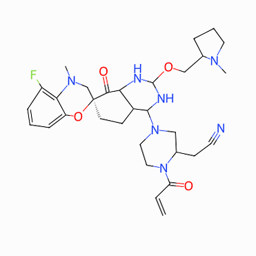 C=CC(=O)N1CCN(C2NC(OCC3CCCN3C)NC3C(=O)[C@]4(CCC32)CN(C)c2c(F)cccc2O4)CC1CC#N